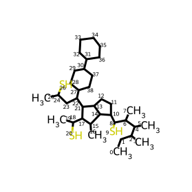 CCC(C)C(C)C(C)C(S)C1CCC2C1C(C)C(C(C)S)C2C(CC(C)S)C1CCC(C2CCCCC2)CC1